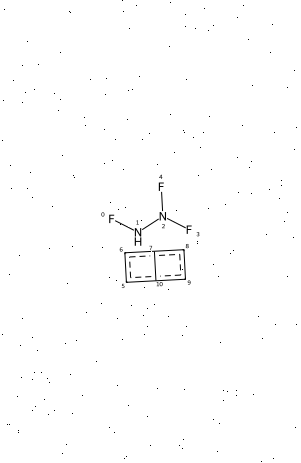 FNN(F)F.c1cc2ccc1-2